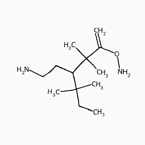 C=C(ON)C(C)(C)C(CCN)C(C)(C)CC